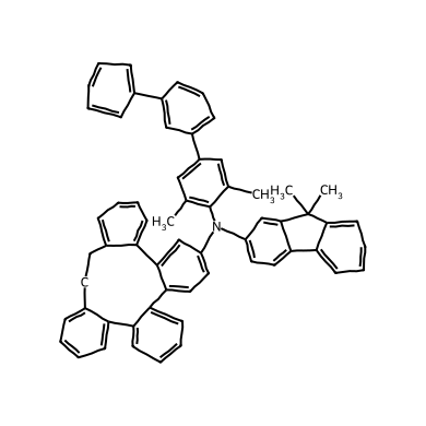 Cc1cc(-c2cccc(-c3ccccc3)c2)cc(C)c1N(c1ccc2c(c1)-c1ccccc1CCc1ccccc1-c1ccccc1-2)c1ccc2c(c1)C(C)(C)c1ccccc1-2